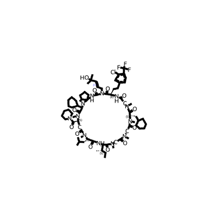 CC[C@H](C)[C@@H]1NC(=O)[C@H](CC(C)C)N(C)C(=O)C[C@@H](C(=O)N2CCCCC2)N(C)C(=O)C(C2CCCCC2)N(C)C2(CCCC2)NC(=O)N(C/C=C/C(C)(C)O)C(=O)[C@@H](CCc2ccc(C(F)(F)F)c(Cl)c2)NC(=O)CN(C)C(=O)[C@H](CC2CCCCC2)N(C)C(=O)CN(C)C(=O)CN(C)C1=O